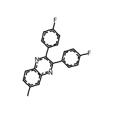 Cc1ccc2nc(-c3ccc(F)cc3)c(-c3ccc(F)cc3)nc2c1